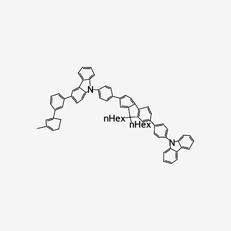 CCCCCCC1(CCCCCC)c2cc(-c3ccc(-n4c5ccccc5c5ccccc54)cc3)ccc2-c2ccc(-c3ccc(-n4c5ccccc5c5cc(-c6cccc(C7=CC(C)=CCC7)c6)ccc54)cc3)cc21